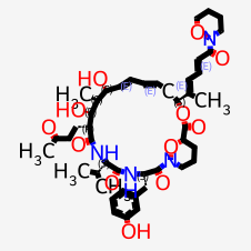 CC(=O)CC[C@H]1C(=O)N[C@@H](C(C)C)C(=O)N[C@@H](Cc2cccc(O)c2)C(=O)N2CCCC(O2)C(=O)O[C@H](/C(C)=C/C=C/C(=O)N2CCCCO2)C/C=C/C=C/[C@H](O)[C@H](C)[C@H]1O